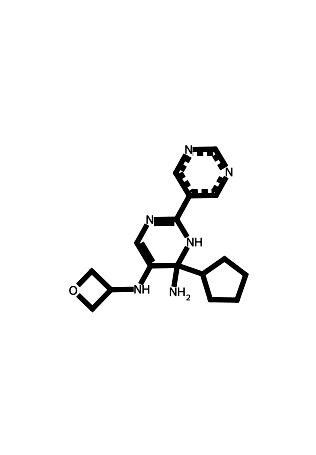 NC1(C2CCCC2)NC(c2cncnc2)=NC=C1NC1COC1